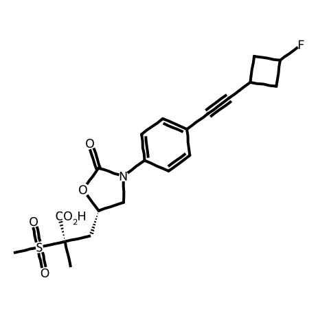 C[C@@](C[C@H]1CN(c2ccc(C#CC3CC(F)C3)cc2)C(=O)O1)(C(=O)O)S(C)(=O)=O